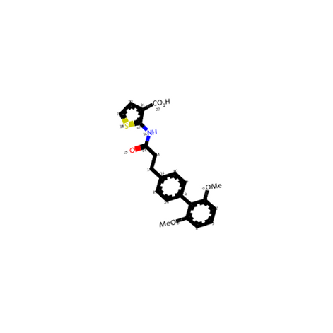 COc1cccc(OC)c1-c1ccc(CCC(=O)Nc2sccc2C(=O)O)cc1